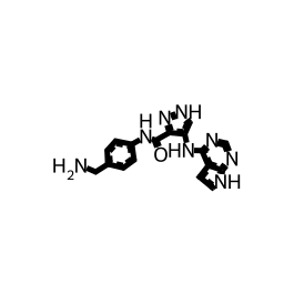 NCc1ccc(NC(=O)c2n[nH]cc2Nc2ncnc3[nH]ccc23)cc1